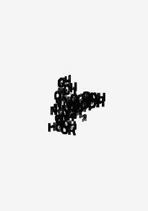 Nc1nc2c(ncn2[C@@H]2O[C@H](CO)[C@@H](O)[C@@H]2N)c(=O)[nH]1.O=P(O)(O)O.O=P(O)(O)O.O=P(O)(O)O